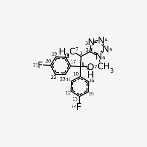 CC(c1nnnn1C)C(O)(c1ccc(F)cc1)c1ccc(F)cc1